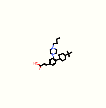 CCCCN1CCN(c2cc(C=CC(=O)O)ccc2C2CCC(C(C)(C)C)CC2)CC1